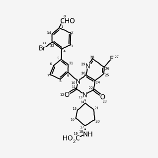 O=Cc1ccc(-c2cccc(-n3c(=O)n([C@H]4CC[C@@H](NC(=O)O)CC4)c(=O)c4cc(F)cnc43)c2)c(Br)c1